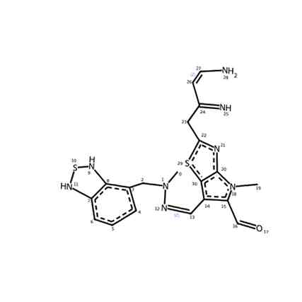 CN(Cc1cccc2c1NSN2)/N=C\c1c(C=O)n(C)c2nc(CC(=N)/C=C\N)sc12